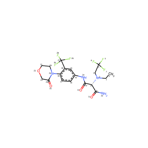 CCN(CC(F)(F)F)[C@H](C(N)=O)C(=O)Nc1ccc(N2CCOCC2=O)c(C(F)(F)F)c1